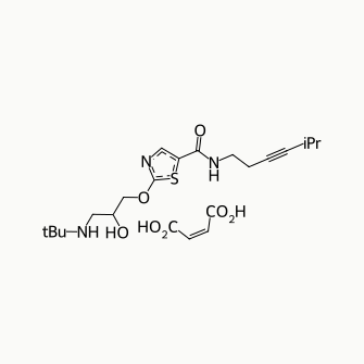 CC(C)C#CCCNC(=O)c1cnc(OCC(O)CNC(C)(C)C)s1.O=C(O)/C=C\C(=O)O